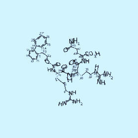 N=C(N)NCCC[C@H](NC(=O)OCC1c2ccccc2-c2ccccc21)C(=O)N[C@@H](CCCNC(=N)N)C(=O)N[C@@H](CCC(N)=O)C(=O)O